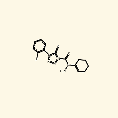 NN(C(=O)n1nnn(-c2ccccc2F)c1=O)C1=CCCCC1